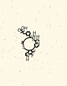 CN/C1=N\C(=N)[C@@](C)(c2cccc(CC(C)(C)C(=O)O)c2)CCCC(C)(C)CSCCc2c(c(F)c(F)c3[nH]ccc23)Cc2ccnc1c2